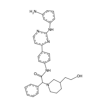 Nc1cccc(Nc2nccc(-c3ccc(NC(=O)C(c4ccccc4)N4CCCC(CCO)C4)cc3)n2)c1